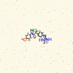 COc1ccc(NC(=O)Cc2ccc(N=C3NCCN3)cc2)cc1.Cl